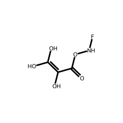 O=C(ONF)C(O)=C(O)O